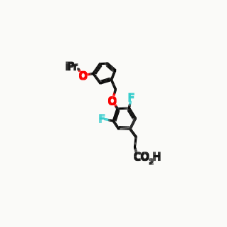 CC(C)Oc1cccc(COc2c(F)cc(CCC(=O)O)cc2F)c1